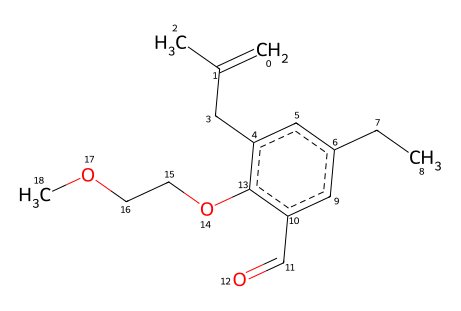 C=C(C)Cc1cc(CC)cc(C=O)c1OCCOC